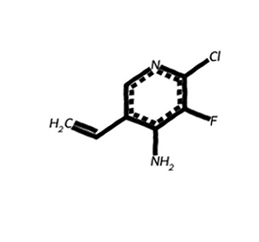 C=Cc1cnc(Cl)c(F)c1N